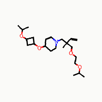 C=CC(C)(COCCOC(C)C)CN1CCC(OC2CC(OC(C)C)C2)CC1